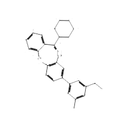 CCc1cc(C)cc(-c2ccc3c(c2)N=C(C2CCCCC2)c2ccccc2S3)c1